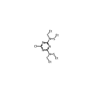 CCSN(SCC)c1nc(Cl)nc(N(SCC)SCC)n1